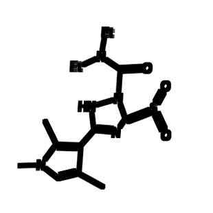 CCN(CC)C(=O)n1[nH]c(-c2c(C)cn(C)c2C)nc1=S(=O)=O